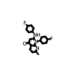 Cc1ccc2c(=O)cc(Nc3ccc(F)cc3)n(-c3ccc(F)cc3)c2n1